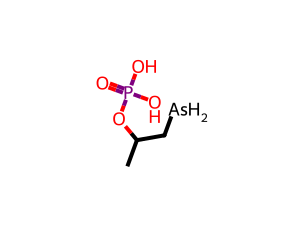 CC(C[AsH2])OP(=O)(O)O